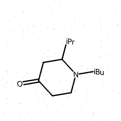 CCC(C)N1CCC(=O)CC1C(C)C